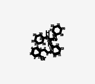 Brc1ccccc1CCn1ccccc1=NC(=NC1CCCCC1)NC1CCCCC1